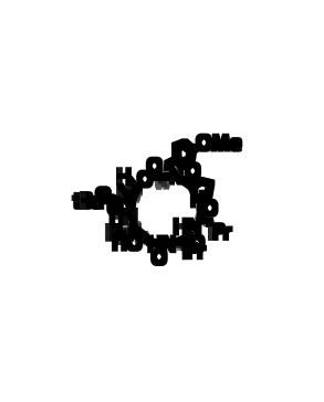 CC[C@H](C)[C@H]1NC(=O)[C@@H](NC(=O)OC(C)(C)C)[C@@H](C)OC(=O)[C@H](Cc2ccc(OC)cc2)N(C)C(=O)C2CCCN2C(=O)[C@H](CC(C)C)NC(=O)[C@H](C(C)C)NC(=O)C[C@@H]1O